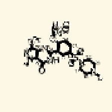 CCCc1nn(C)c2c(=O)[nH]c(-c3cc(S(=O)(=O)N4CCN(C)CC4)ccc3OCC)nc12.O.O